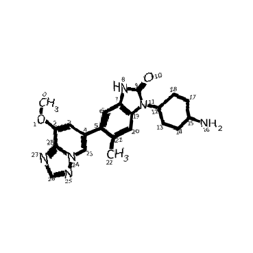 COc1cc(-c2cc3[nH]c(=O)n(C4CCC(N)CC4)c3cc2C)cn2ncnc12